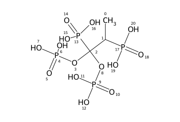 CC(C(OP(=O)(O)O)(OP(=O)(O)O)P(=O)(O)O)P(=O)(O)O